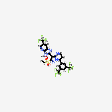 CCS(=O)(=O)c1nn2c(-c3cc(C(F)(F)F)cc(C(F)(F)F)c3)ccnc2c1-c1nc2cc(C(F)(F)F)cnc2n1C